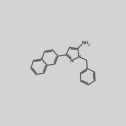 Nc1cc(-c2ccc3ccccc3c2)nn1Cc1ccccc1